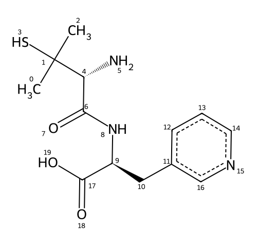 CC(C)(S)[C@H](N)C(=O)N[C@@H](Cc1cccnc1)C(=O)O